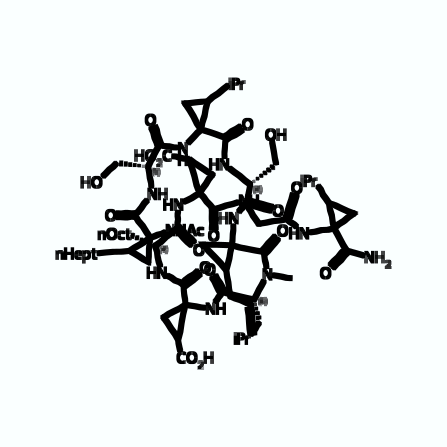 C=CCC1CC1(NC(=O)[C@@H](CO)NC(=O)C1(NC(=O)[C@@H](CO)NC(=O)C2(NC(C)=O)CC2CCCCCCC)CC1C(C)C)C(=O)N(C)[C@H](CC(C)C)C(=O)NC1(C(=O)N[C@H](CCCCCCCC)C(=O)NC2(C(=O)NCC(=O)NC3(C(N)=O)CC3C(C)C)CC2C(=O)O)CC1C(=O)O